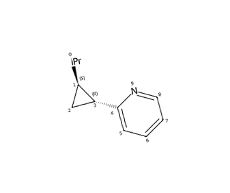 CC(C)[C@@H]1C[C@H]1c1ccccn1